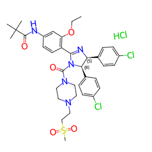 CCOc1cc(NC(=O)C(C)(C)C)ccc1C1=N[C@@H](c2ccc(Cl)cc2)[C@@H](c2ccc(Cl)cc2)N1C(=O)N1CCN(CCS(C)(=O)=O)CC1.Cl